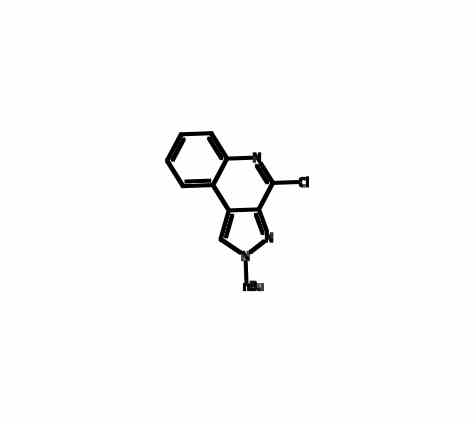 CCCCn1cc2c(n1)c(Cl)nc1ccccc12